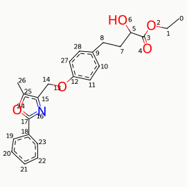 CCOC(=O)C(O)CCc1ccc(OCc2nc(-c3ccccc3)oc2C)cc1